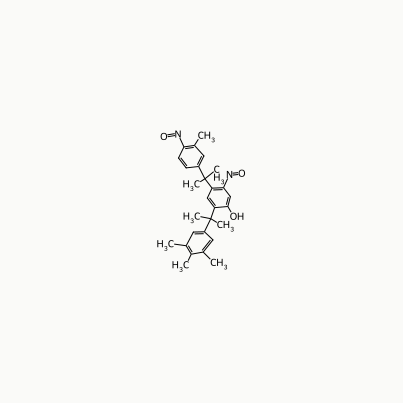 Cc1cc(C(C)(C)c2cc(C(C)(C)c3cc(C)c(C)c(C)c3)c(O)cc2N=O)ccc1N=O